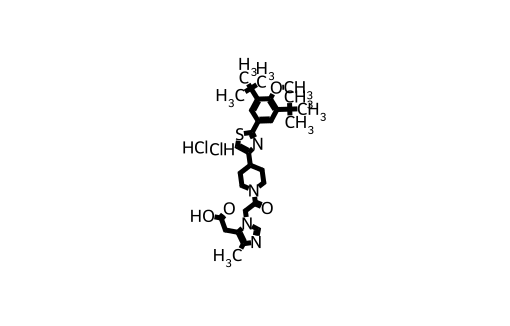 COc1c(C(C)(C)C)cc(-c2nc(C3CCN(C(=O)Cn4cnc(C)c4CC(=O)O)CC3)cs2)cc1C(C)(C)C.Cl.Cl